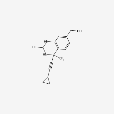 OCc1ccc2c(c1)NC(S)NC2(C#CC1CC1)C(F)(F)F